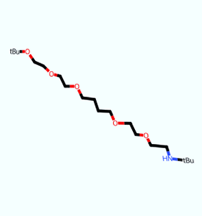 CC(C)(C)NCCOCCOCCCCOCCOCCOC(C)(C)C